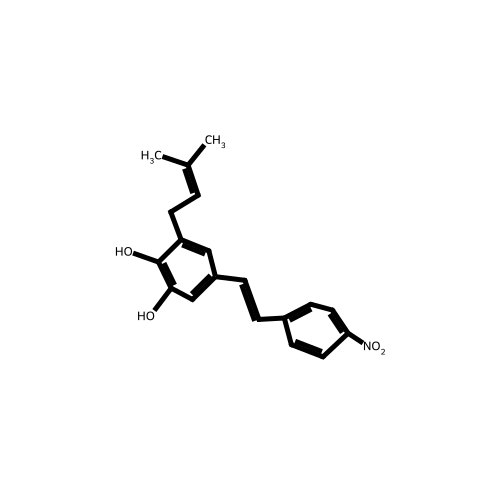 CC(C)=CCc1cc(C=Cc2ccc([N+](=O)[O-])cc2)cc(O)c1O